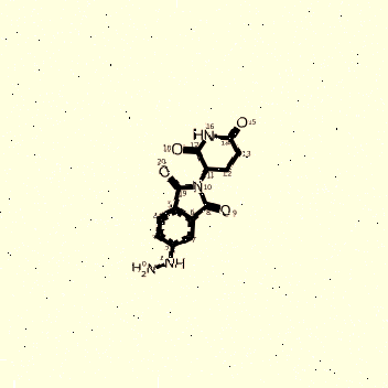 NNc1ccc2c(c1)C(=O)N(C1CCC(=O)NC1=O)C2=O